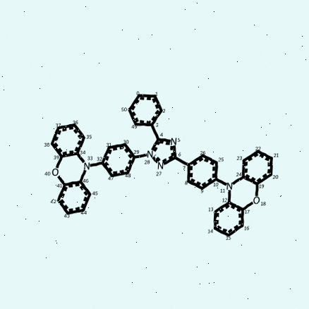 c1ccc(-c2nc(-c3ccc(N4c5ccccc5Oc5ccccc54)cc3)nn2-c2ccc(N3c4ccccc4Oc4ccccc43)cc2)cc1